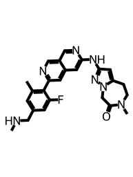 CNCc1cc(C)c(-c2cc3cc(Nc4cc5n(n4)CC(=O)N(C)CC5)ncc3cn2)c(F)c1